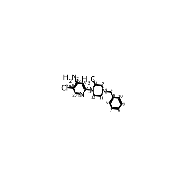 CC1CN(Cc2ccccc2)CCN1c1cc(N)c(Cl)cn1